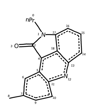 CCCN1C(=O)c2c3cc(C)ccc3nc3cccc1c23